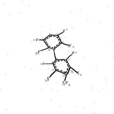 Fc1cc(F)c(F)c(-c2c(F)c(F)c(C(F)(F)F)c(F)c2F)c1F